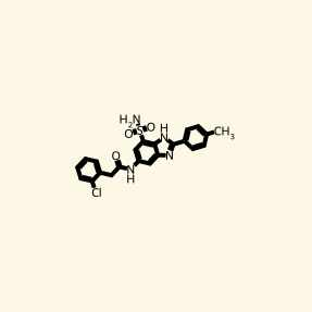 Cc1ccc(-c2nc3cc(NC(=O)Cc4ccccc4Cl)cc(S(N)(=O)=O)c3[nH]2)cc1